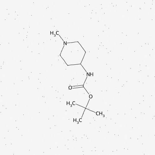 CN1CCC(NC(=O)OC(C)(C)C)CC1